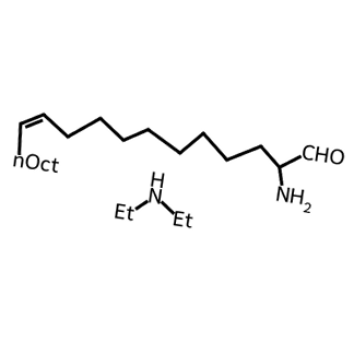 CCCCCCCC/C=C\CCCCCCCCC(N)C=O.CCNCC